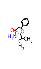 CC(C)COC(CC(=O)ON)c1ccccc1